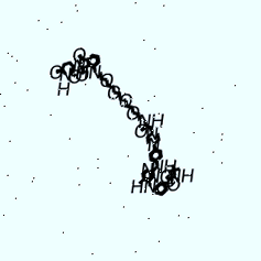 Cc1cnc(Nc2ccc(N3CCN(CC(=O)NCCOCCOCCOCCOCCNc4cccc5c4C(=O)N(C4CCC(=O)NC4=O)C5=O)CC3)cc2)nc1Nc1cccc(S(=O)(=O)NC(C)(C)C)c1